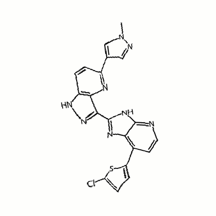 Cn1cc(-c2ccc3[nH]nc(-c4nc5c(-c6ccc(Cl)s6)ccnc5[nH]4)c3n2)cn1